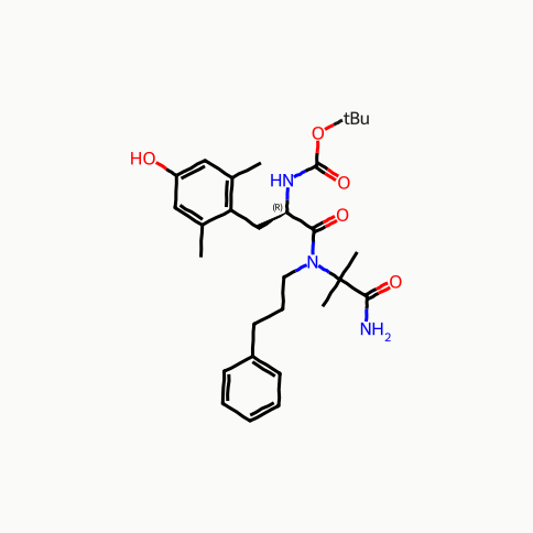 Cc1cc(O)cc(C)c1C[C@@H](NC(=O)OC(C)(C)C)C(=O)N(CCCc1ccccc1)C(C)(C)C(N)=O